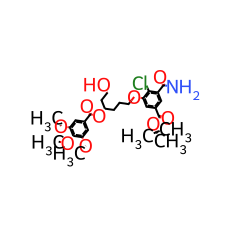 COc1cc(C(=O)OC(CCO)CCCOc2cc(C(=O)OC(C)(C)C)cc(C(N)=O)c2Cl)cc(OC)c1OC